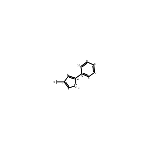 Ic1coc(-c2ccccc2)c1